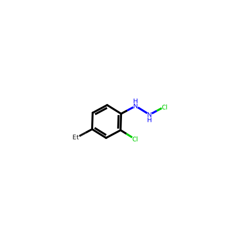 CCc1ccc(NNCl)c(Cl)c1